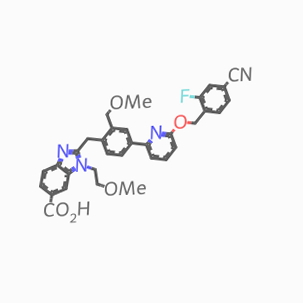 COCCn1c(Cc2ccc(-c3cccc(OCc4ccc(C#N)cc4F)n3)cc2COC)nc2ccc(C(=O)O)cc21